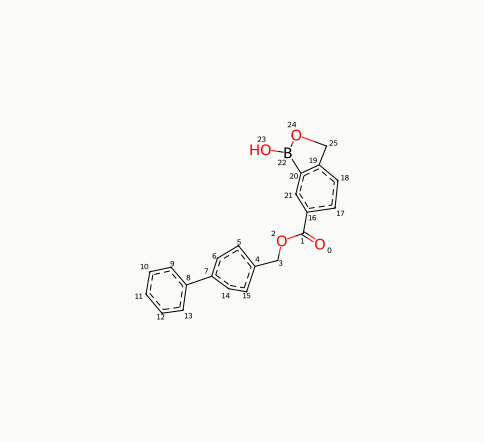 O=C(OCc1ccc(-c2ccccc2)cc1)c1ccc2c(c1)B(O)OC2